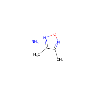 Cc1nonc1C.N